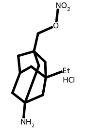 CCC12CC3CC(N)(C1)CC(CO[N+](=O)[O-])(C3)C2.Cl